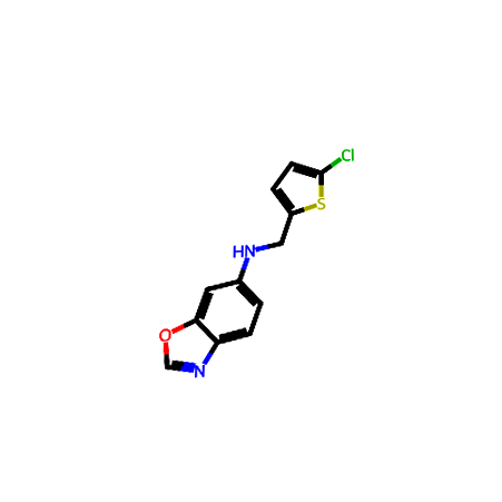 Clc1ccc(CNc2ccc3ncoc3c2)s1